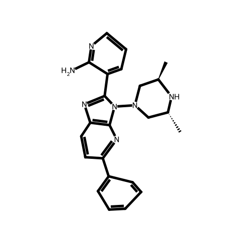 C[C@@H]1CN(n2c(-c3cccnc3N)nc3ccc(-c4ccccc4)nc32)C[C@@H](C)N1